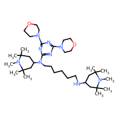 CN1C(C)(C)CC(NCCCCCCN(c2nc(N3CCOCC3)nc(N3CCOCC3)n2)C2CC(C)(C)N(C)C(C)(C)C2)CC1(C)C